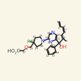 C=C/C=C\C=C(/C)C(O)(c1ccccc1)c1cncc(N2CCC(F)(COCC(=O)O)CC2)n1